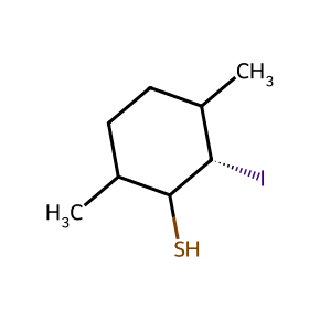 CC1CCC(C)[C@H](I)C1S